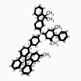 C=C1CC(N(C2=CCC3C(=C2)C(C)(C)C2=C3CCC=C2)C2=CC=C(C3C=C4C(=CC3)C3C=CC=C=C3[C@]43C4=C(CC(C)C=C4)c4ccccc43)CC2)CC(C)C1c1ccccc1